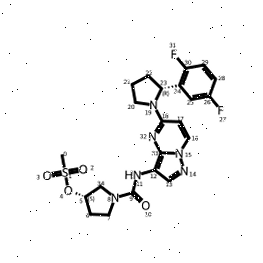 CS(=O)(=O)O[C@H]1CCN(C(=O)Nc2cnn3ccc(N4CCC[C@@H]4c4cc(F)ccc4F)nc23)C1